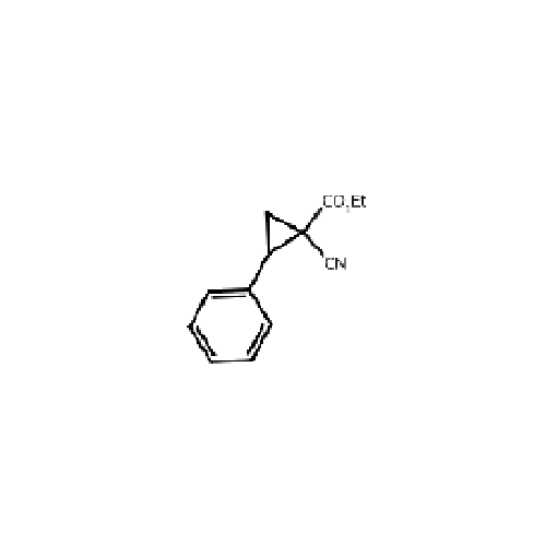 CCOC(=O)C1(C#N)CC1c1ccccc1